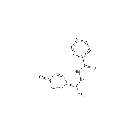 CC(NNC(=O)c1ccncc1)=C1C=CC(=O)C=C1